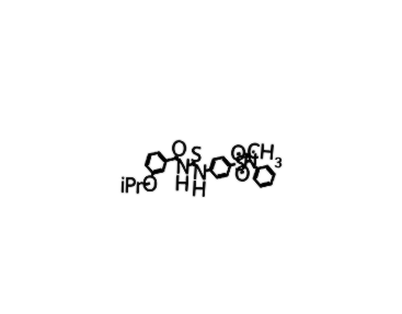 CC(C)Oc1cccc(C(=O)NC(=S)Nc2ccc(S(=O)(=O)N(C)c3ccccc3)cc2)c1